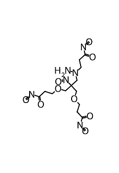 NN(CCC(=O)N=O)CC(COCCC(=O)N=O)(COCCC(=O)N=O)N=O